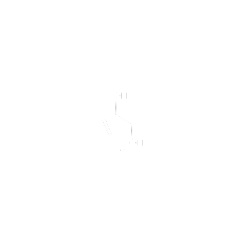 C=C.OCCO.[Fe]